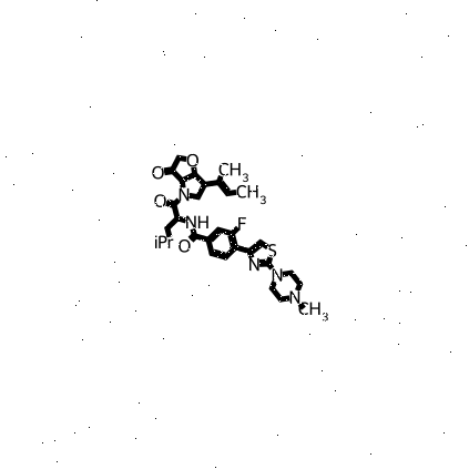 C/C=C(\C)C1CN(C(=O)C(CC(C)C)NC(=O)c2ccc(-c3csc(N4CCN(C)CC4)n3)c(F)c2)C2C(=O)COC12